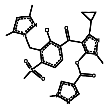 Cc1cc(C)n(Cc2c(S(C)(=O)=O)ccc(C(=O)c3c(C4CC4)nn(C)c3OC(=O)c3cnn(C)c3)c2Cl)n1